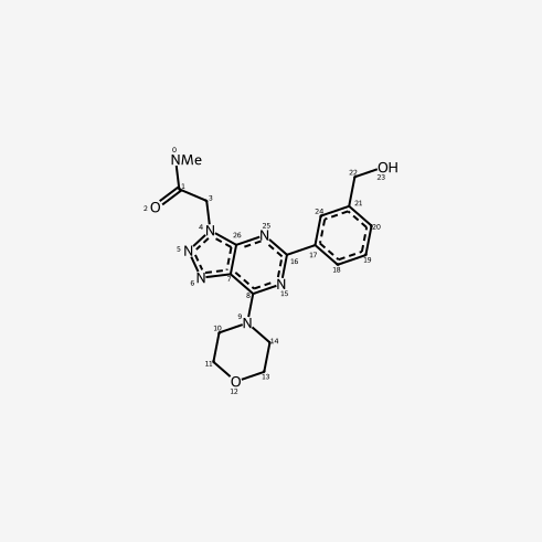 CNC(=O)Cn1nnc2c(N3CCOCC3)nc(-c3cccc(CO)c3)nc21